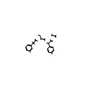 COc1ccc(C(NC(=O)C(CO)NC(=O)C(F)(F)c2cccc(F)c2)C(=O)NC(C(=O)C(F)(F)F)C(C)C)cc1